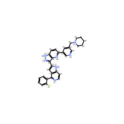 Fc1ccccc1-c1nccc2[nH]c(-c3n[nH]c4ccc(-c5cncc(CN6CCCCC6)c5)nc34)cc12